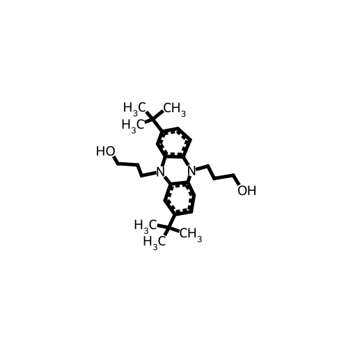 CC(C)(C)c1ccc2c(c1)N(CCCO)c1cc(C(C)(C)C)ccc1N2CCCO